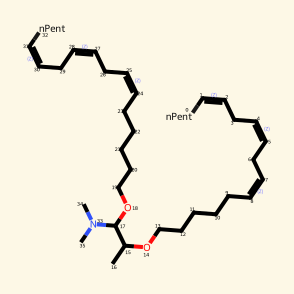 CCCCC/C=C\C/C=C\C/C=C\CCCCCOC(C)C(OCCCCC/C=C\C/C=C\C/C=C\CCCCC)N(C)C